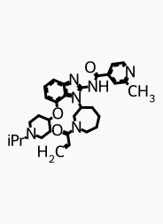 C=CC(=O)N1CCCCC(n2c(NC(=O)c3ccnc(C)c3)nc3cccc(OC4CCN(C(C)C)CC4)c32)C1